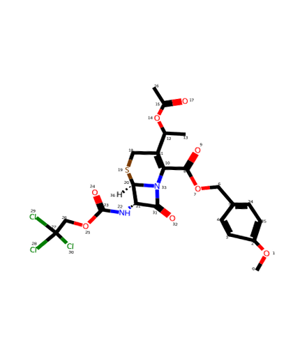 COc1ccc(COC(=O)C2=C(C(C)OC(C)=O)CS[C@@H]3[C@@H](NC(=O)OCC(Cl)(Cl)Cl)C(=O)N23)cc1